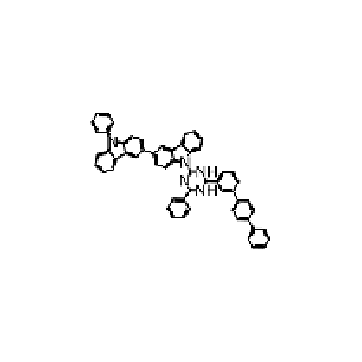 c1ccc(-c2ccc(-c3cccc(C4NC(n5c6ccccc6c6cc(-c7ccc8c(c7)c7ccccc7n8-c7ccccc7)ccc65)=NC(c5ccccc5)N4)c3)cc2)cc1